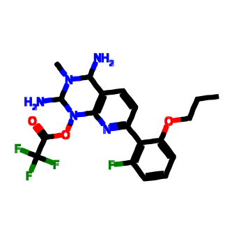 CCCOc1cccc(F)c1-c1ccc2c(n1)N(OC(=O)C(F)(F)F)C(N)N(C)C2N